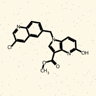 COC(=O)c1cn(Cc2ccc3ncc(Cl)cc3c2)c2ccc(O)nc12